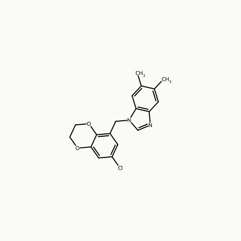 Cc1cc2ncn(Cc3cc(Cl)cc4c3OCCO4)c2cc1C